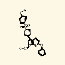 CC(C)Oc1ccc(S(=O)(=O)N2CCC(c3cn(CC=O)c4nc(Oc5ccccc5)ccc34)CC2)cc1